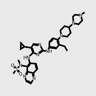 CCc1cc(Nc2ncc(C3CC3)c(Nc3ccc4nccnc4c3N(C)S(C)(=O)=O)n2)ccc1N1CCC(N2CCN(C)CC2)CC1